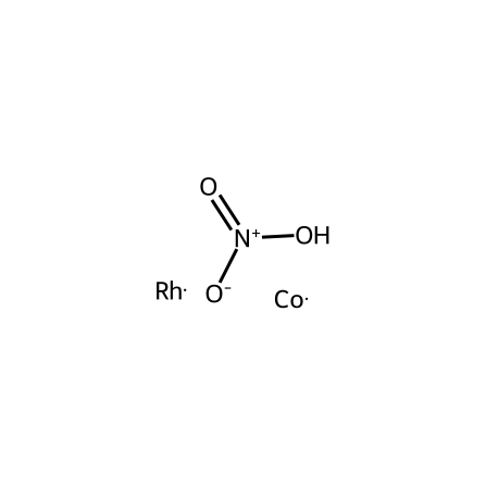 O=[N+]([O-])O.[Co].[Rh]